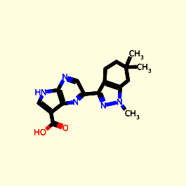 Cn1nc(-c2cnc3[nH]cc(C(=O)O)c3n2)c2c1CC(C)(C)CC2